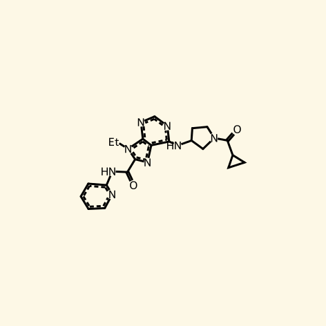 CCn1c(C(=O)Nc2ccccn2)nc2c(NC3CCN(C(=O)C4CC4)C3)ncnc21